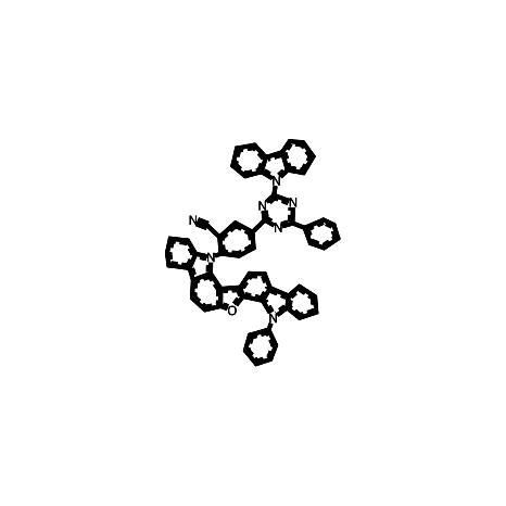 N#Cc1cc(-c2nc(-c3ccccc3)nc(-n3c4ccccc4c4ccccc43)n2)ccc1-n1c2ccccc2c2ccc3oc4c(ccc5c6ccccc6n(-c6ccccc6)c54)c3c21